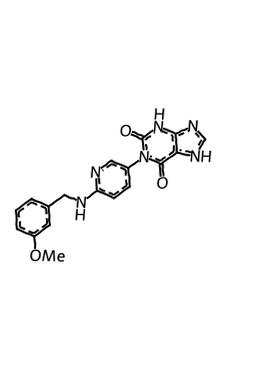 COc1cccc(CNc2ccc(-n3c(=O)[nH]c4nc[nH]c4c3=O)cn2)c1